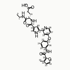 CCNC(=O)[C@H](CCC(=O)O)NC(=O)c1c[nH]c(-c2cc(Oc3cccc(NC(=O)c4occc4C)c3)ccn2)c1